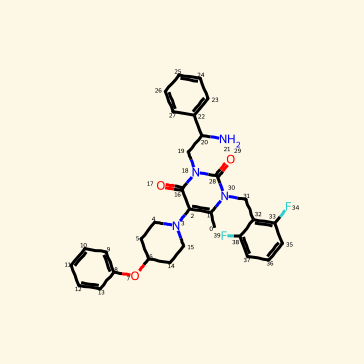 Cc1c(N2CCC(Oc3ccccc3)CC2)c(=O)n(CC(N)c2ccccc2)c(=O)n1Cc1c(F)cccc1F